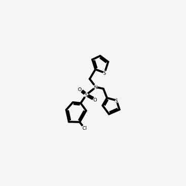 O=S(=O)(c1cccc(Cl)c1)N(Cc1cccs1)Cc1cccs1